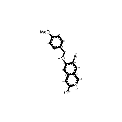 COc1ccc(CNc2cc3cc(Cl)ncc3cc2Br)cc1